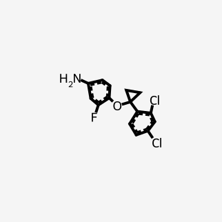 Nc1ccc(OC2(c3ccc(Cl)cc3Cl)CC2)c(F)c1